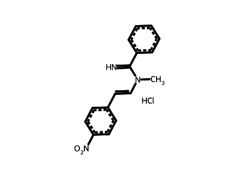 CN(C=Cc1ccc([N+](=O)[O-])cc1)C(=N)c1ccccc1.Cl